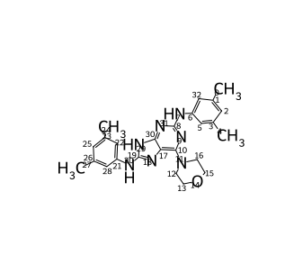 Cc1cc(C)cc(Nc2nc(N3CCOCC3)c3nc(Nc4cc(C)cc(C)c4)[nH]c3n2)c1